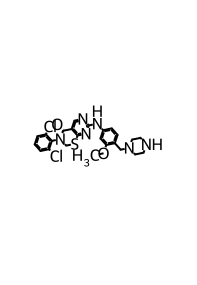 COc1cc(Nc2ncc3c(n2)SCN(c2c(Cl)cccc2Cl)C3=O)ccc1CN1CCNCC1